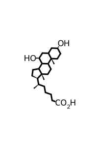 C[C@H](CCCCC(=O)O)[C@H]1CCC2C3C(CC[C@@]21C)[C@@]1(C)CC[C@@H](O)CC1C[C@@H]3O